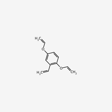 C=COc1ccc(OC=C)c(C=C)c1